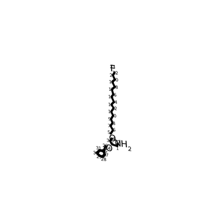 NCC(COCCCCCCCCCCCCCCCCCCF)OCc1ccccc1